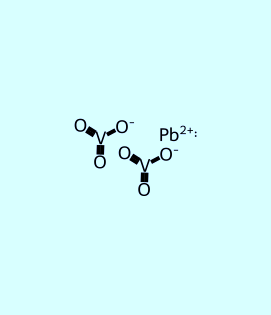 [O]=[V](=[O])[O-].[O]=[V](=[O])[O-].[Pb+2]